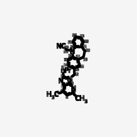 CCCc1nc2c(C)cc(C)nc2n1Cc1ccc2c(c1)CCc1ccccc1N2CC#N